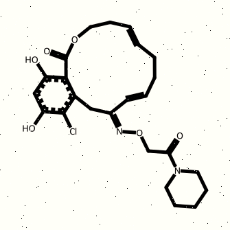 O=C1OCC/C=C/CC/C=C/C(=N\OCC(=O)N2CCCCC2)Cc2c(Cl)c(O)cc(O)c21